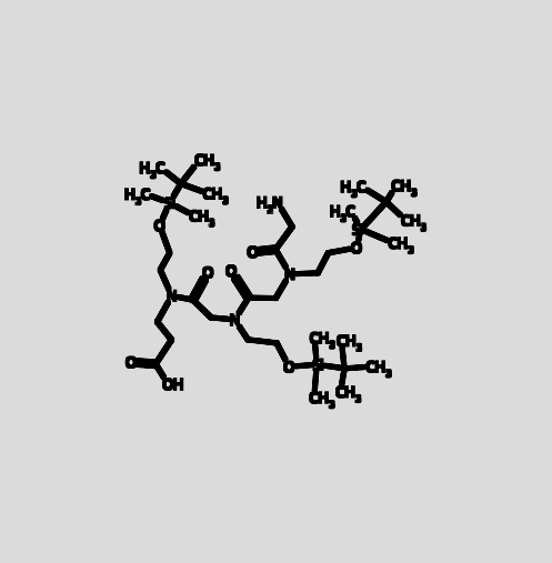 CC(C)(C)[Si](C)(C)OCCN(CCC(=O)O)C(=O)CN(CCO[Si](C)(C)C(C)(C)C)C(=O)CN(CCO[Si](C)(C)C(C)(C)C)C(=O)CN